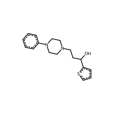 OC(CCN1CCN(c2ccccc2)CC1)c1cccs1